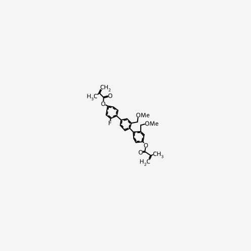 C=C(C)C(=O)Oc1ccc(-c2ccc(-c3ccc(OC(=O)C(=C)C)cc3COC)c(COC)c2)c(F)c1